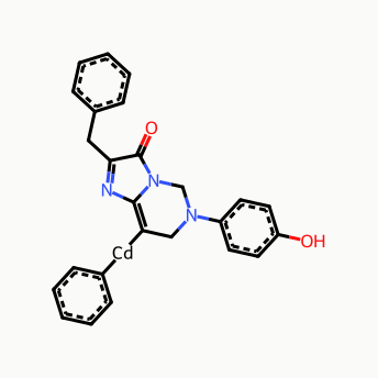 O=C1C(Cc2ccccc2)=NC2=[C]([Cd][c]3ccccc3)CN(c3ccc(O)cc3)CN12